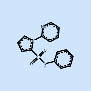 O=S(=O)(Nc1ccccc1)c1cccn1-c1ccccn1